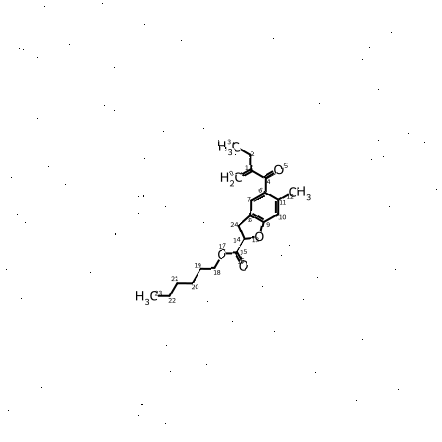 C=C(CC)C(=O)c1cc2c(cc1C)OC(C(=O)OCCCCCC)C2